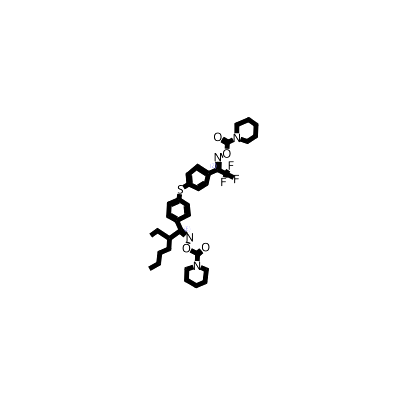 CCCCC(CC)/C(=N\OC(=O)N1CCCCC1)c1ccc(Sc2ccc(/C(=N/OC(=O)N3CCCCC3)C(F)(F)F)cc2)cc1